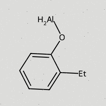 CCc1ccccc1[O][AlH2]